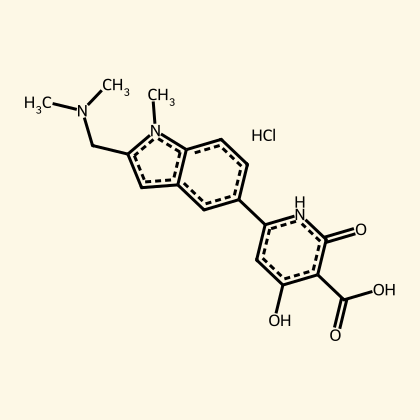 CN(C)Cc1cc2cc(-c3cc(O)c(C(=O)O)c(=O)[nH]3)ccc2n1C.Cl